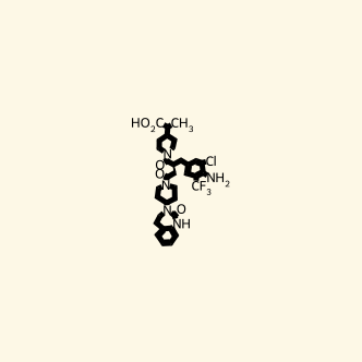 CC(C(=O)O)C1CCN(C(=O)[C@H](CC(=O)N2CCC(N3CCc4ccccc4NC3=O)CC2)Cc2cc(Cl)c(N)c(C(F)(F)F)c2)CC1